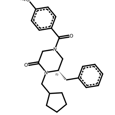 COc1ccc(C(=O)N2CC(=O)N(CC3CCCC3)[C@@H](Cc3ccccc3)C2)cc1